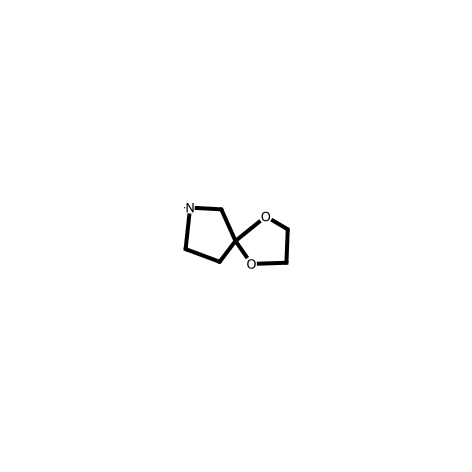 C1CC2(C[N]1)OCCO2